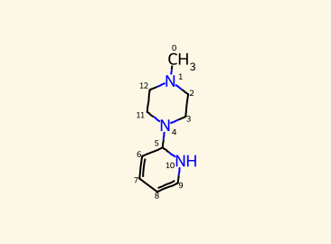 CN1CCN(C2C=CC=CN2)CC1